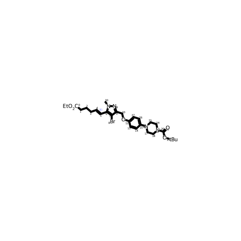 CCOC(=O)CCC/C=C/c1c(Br)c(COc2ccc(N3CCN(C(=O)OC(C)(C)C)CC3)cc2)nn1C